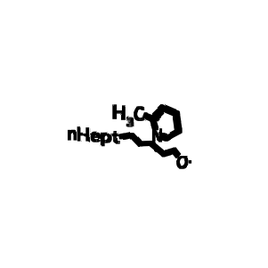 CCCCCCCCCCCC[O].Cc1ccccn1